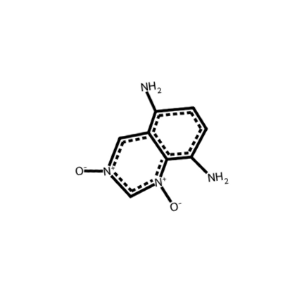 Nc1ccc(N)c2c1c[n+]([O-])c[n+]2[O-]